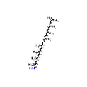 CC(C)=CCC/C(C)=C/C=C/C(C)=C/C=C/C(C)=C/C=C/C=C(C)/C=C/C=C(C)/C=C/C=C(\C)CC/C=C(\C)CN